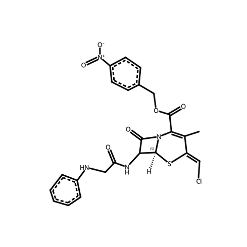 CC1=C(C(=O)OCc2ccc([N+](=O)[O-])cc2)N2C(=O)C(NC(=O)CNc3ccccc3)[C@@H]2SC1=CCl